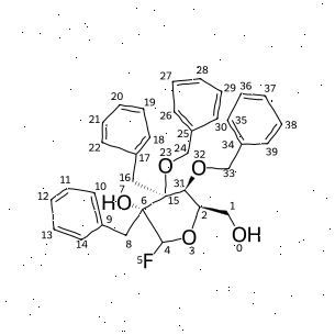 OC[C@H]1OC(F)[C@@](O)(Cc2ccccc2)[C@@](Cc2ccccc2)(OCc2ccccc2)[C@H]1OCc1ccccc1